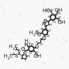 CCSC(SCC)[C@@H]1CCCN1C(=O)c1cc(CO)c(OCCCOc2ccc(C3=NOC(c4cc(CO)c(CO)c(CO)c4)C3)cc2OC)cc1N